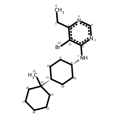 CCc1ncnc(N[C@H]2CC[C@@H](C3(C)CCCCC3)CC2)c1Br